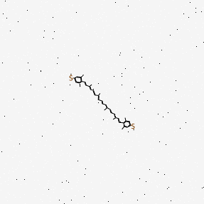 CSc1cc(C)c(/C=C/C(C)=C/C=C/C(C)=C/C=C/C=C(C)/C=C/C=C(C)/C=C/c2c(C)cc(SC)cc2C)c(C)c1